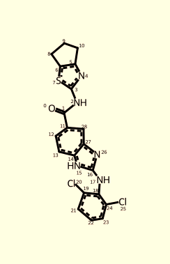 O=C(Nc1nc2c(s1)CCC2)c1ccc2[nH]c(Nc3c(Cl)cccc3Cl)nc2c1